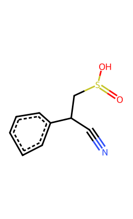 N#CC(CS(=O)O)c1ccccc1